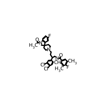 CC(=O)N1CC2(CCN(CCC(CN(C)C(=O)c3cc(C)c(F)c(C)c3)c3ccc(Cl)c(Cl)c3)CC2)c2cc(F)ccc21